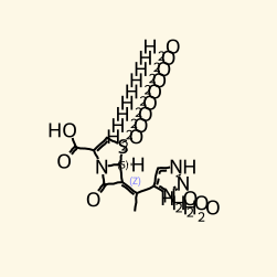 C/C(=C1\C(=O)N2C(C(=O)O)=CS[C@@H]12)c1c[nH]nn1.O.O.O.O.O.O.O.O.O.O.O.O